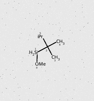 [CH2]O[SiH2]C(C)(C)C(C)C